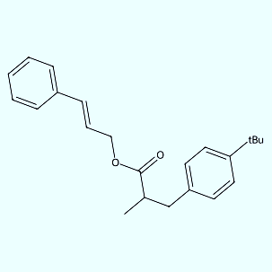 CC(Cc1ccc(C(C)(C)C)cc1)C(=O)OC/C=C/c1ccccc1